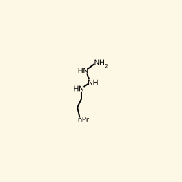 CCCCCNNNN